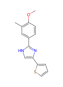 COc1ccc(-c2nc(-c3cccs3)c[nH]2)cc1C